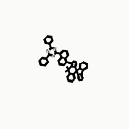 CC1(C)c2ccccc2C2(c3ccccc3-c3ccccc32)c2cccc(-c3cccc4c(-c5nc(-c6ccccc6)nc(-c6ccccc6)n5)cccc34)c21